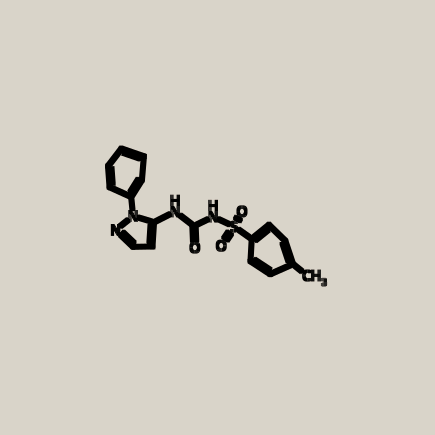 Cc1ccc(S(=O)(=O)NC(=O)Nc2ccnn2-c2ccccc2)cc1